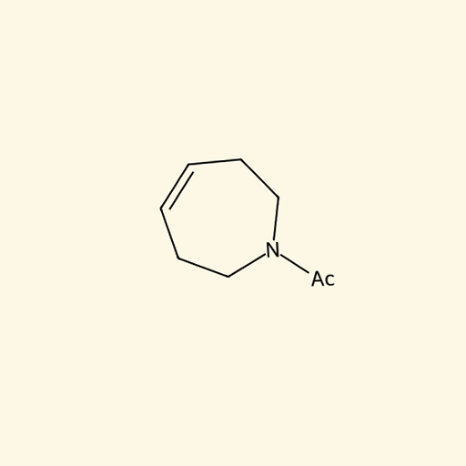 CC(=O)N1CCC=CCC1